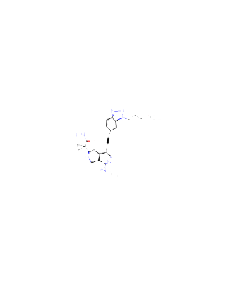 CNc1ncc(C#Cc2ccc3nnn(CCCOC)c3c2)c2cc(C3(C(N)=O)CC3)ncc12